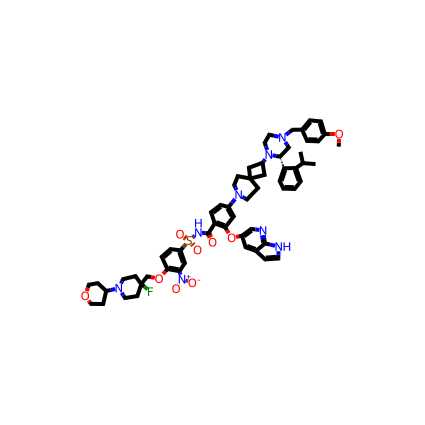 COc1ccc(CN2CCN(C3CC4(CCN(c5ccc(C(=O)NS(=O)(=O)c6ccc(OCC7(F)CCN(C8CCOCC8)CC7)c([N+](=O)[O-])c6)c(Oc6cnc7[nH]ccc7c6)c5)CC4)C3)[C@@H](c3ccccc3C(C)C)C2)cc1